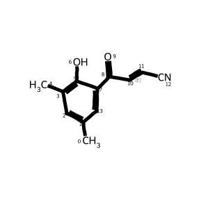 Cc1cc(C)c(O)c(C(=O)/C=C/C#N)c1